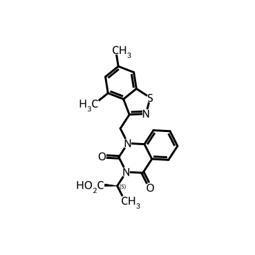 Cc1cc(C)c2c(Cn3c(=O)n([C@@H](C)C(=O)O)c(=O)c4ccccc43)nsc2c1